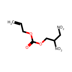 C=CCOC(=O)OCC(C[N+](=O)[O-])[N+](=O)[O-]